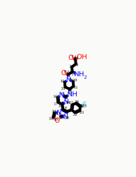 NC(CCC(=O)O)C(=O)N1CCC(Nc2nccc(-c3c(-c4ccc(F)cc4)nc4occn34)n2)CC1